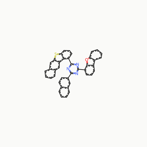 c1ccc2cc(-c3nc(-c4cccc5c4oc4ccccc45)nc(-c4cccc5sc6cc7ccccc7cc6c45)n3)ccc2c1